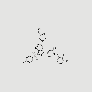 Cc1ccc(S(=O)(=O)n2cc(-c3ccn(Cc4cccc(Cl)c4F)c(=O)c3)c3cc(N4CCOC(CO)C4)cnc32)cc1